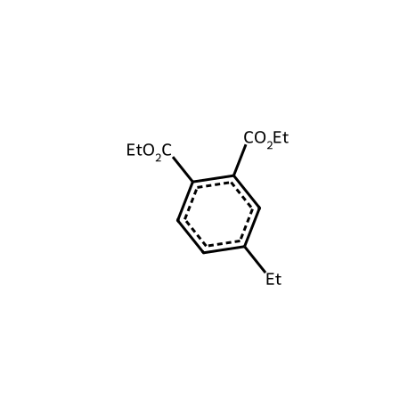 [CH2]Cc1ccc(C(=O)OCC)c(C(=O)OCC)c1